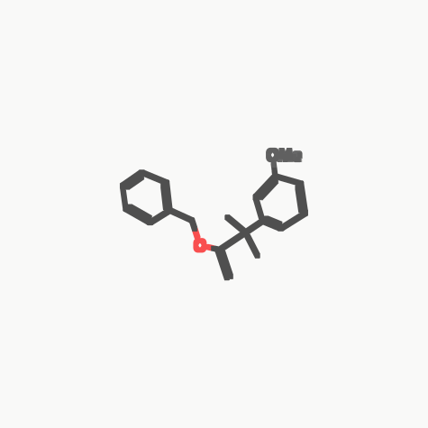 C=C(OCc1ccccc1)C(C)(C)c1cccc(OC)c1